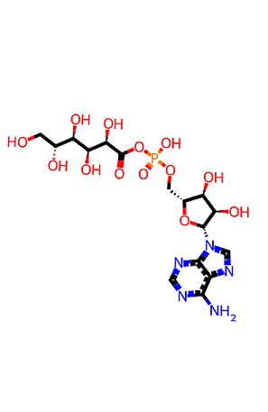 Nc1ncnc2c1ncn2[C@@H]1O[C@H](COP(=O)(O)OC(=O)[C@H](O)[C@@H](O)[C@H](O)[C@H](O)CO)[C@@H](O)[C@H]1O